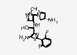 Cn1ncc(NC(O)c2nc(-c3c(F)cccc3F)sc2N)c1N1CC[C@H](N)C1